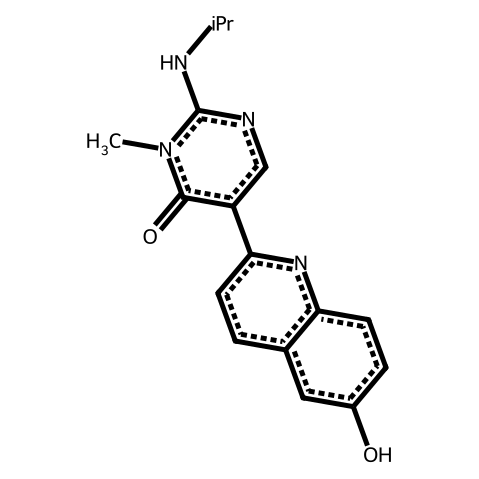 CC(C)Nc1ncc(-c2ccc3cc(O)ccc3n2)c(=O)n1C